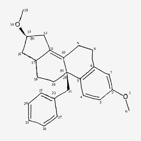 COc1ccc2c(c1)CCC1=C3C[C@H](OC)CC3CC[C@]12Cc1ccccc1